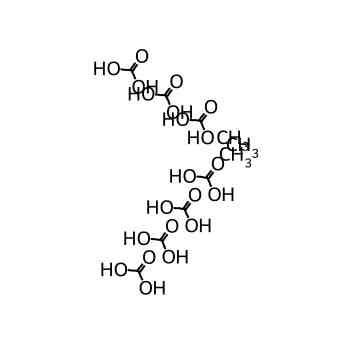 O=C(O)O.O=C(O)O.O=C(O)O.O=C(O)O.O=C(O)O.O=C(O)O.O=C(O)O.[CH3].[CH3].[CH3]